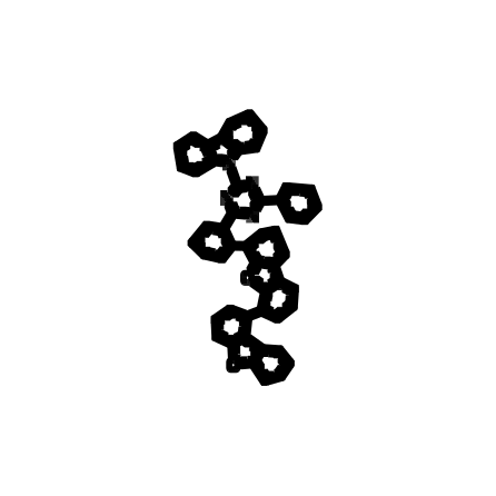 c1ccc(-c2nc(-c3ccccc3-c3cccc4c3oc3c(-c5cccc6oc7ccccc7c56)cccc34)nc(-n3c4ccccc4c4ccccc43)n2)cc1